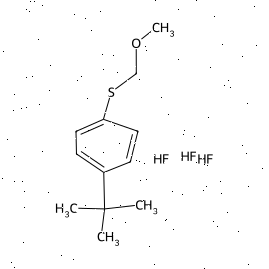 COCSc1ccc(C(C)(C)C)cc1.F.F.F